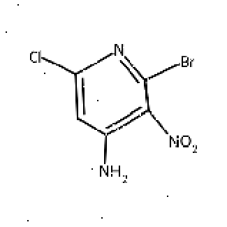 Nc1cc(Cl)nc(Br)c1[N+](=O)[O-]